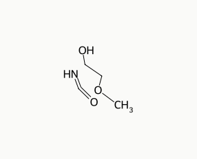 COCCO.N=C=O